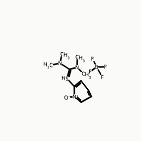 CN(C)C(=[SH]c1cccc[n+]1[O-])N(C)C.F[B-](F)(F)F